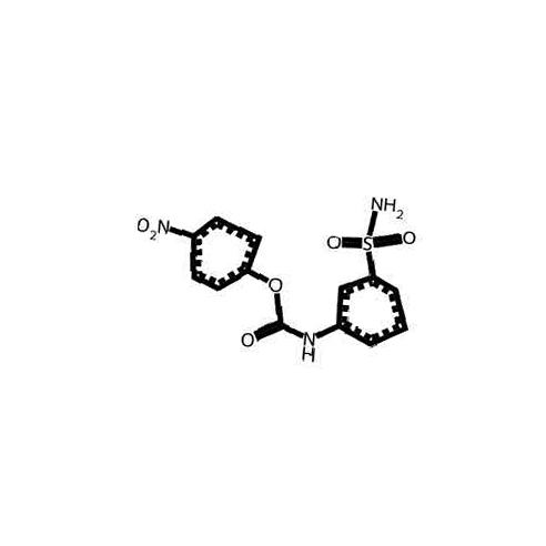 NS(=O)(=O)c1cccc(NC(=O)Oc2ccc([N+](=O)[O-])cc2)c1